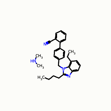 CCCCc1nc2cccc(CC)c2n1Cc1ccc(-c2ccccc2C#N)cc1.CNC